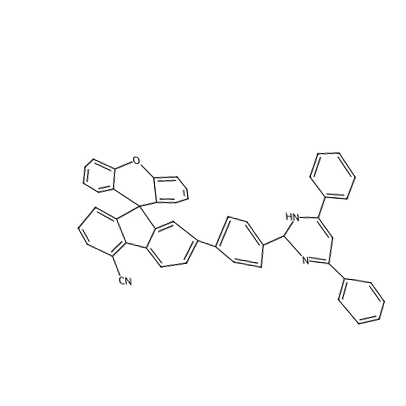 N#Cc1cccc2c1-c1ccc(-c3ccc(C4N=C(c5ccccc5)C=C(c5ccccc5)N4)cc3)cc1C21c2ccccc2Oc2ccccc21